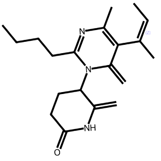 C=C1NC(=O)CCC1N1C(=C)C(/C(C)=C\C)=C(C)N=C1CCCC